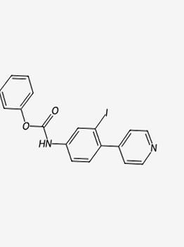 O=C(Nc1ccc(-c2ccncc2)c(I)c1)Oc1ccccc1